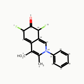 CC1=C(C(=O)O)C2=CC(F)C(=O)C(F)C2=CN1c1ccccc1